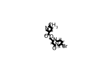 Cc1ccc(C(=O)OCc2cc(=O)n3cc(Br)ccc3n2)cn1